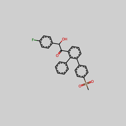 CS(=O)(=O)c1ccc(-c2cccc(C(=O)C(O)c3ccc(F)cc3)c2-c2ccccc2)cc1